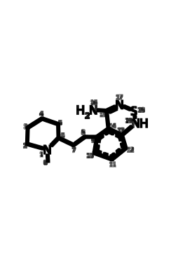 CN1CCCCC1CCc1cccc2c1C(N)=NSN2